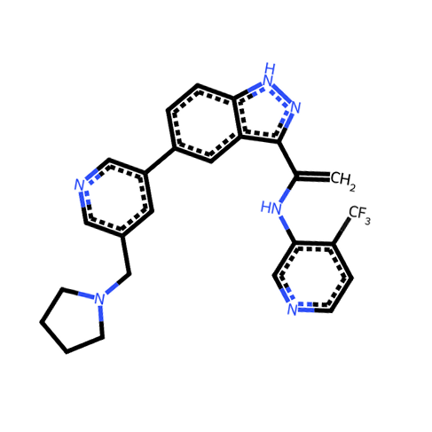 C=C(Nc1cnccc1C(F)(F)F)c1n[nH]c2ccc(-c3cncc(CN4CCCC4)c3)cc12